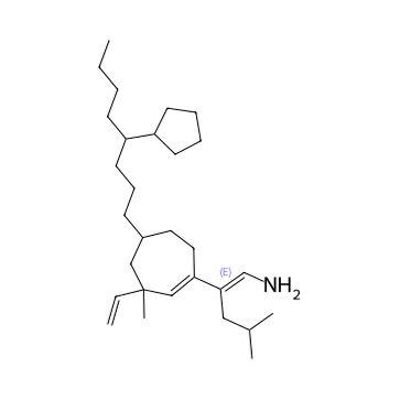 C=CC1(C)C=C(/C(=C/N)CC(C)C)CCC(CCCC(CCCC)C2CCCC2)C1